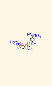 CC(NC(=O)CC(=O)Nc1ccc(C(=N)N)cc1)c1ccc(S(=O)(=O)N2CCNCC2)c(C(F)(F)F)c1